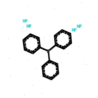 F.F.F.F.c1ccc(B(c2ccccc2)c2ccccc2)cc1